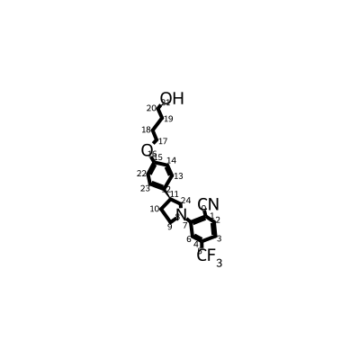 N#Cc1ccc(C(F)(F)F)cc1N1CC[C@@H](c2ccc(OCCCCO)cc2)C1